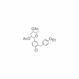 CCOc1ccc(Cc2cc(C3OC(C)C(OC(C)=O)CC3OC(C)=O)ccc2Cl)cc1